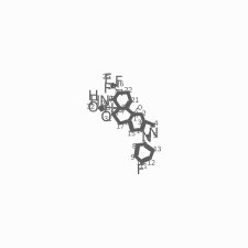 C[C@]12Cc3cnn(-c4ccc(F)cc4)c3C=C1CC[C@H]1C2=CC[C@@H](C(F)(F)F)[C@@H]1NC(=O)O